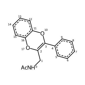 CC(=O)NCC1=C(c2ccccc2)Oc2ccccc2O1